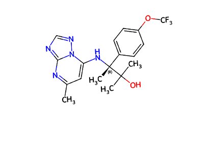 Cc1cc(N[C@](C)(c2ccc(OC(F)(F)F)cc2)C(C)(C)O)n2ncnc2n1